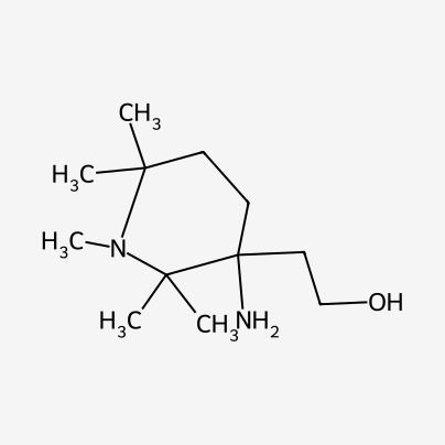 CN1C(C)(C)CCC(N)(CCO)C1(C)C